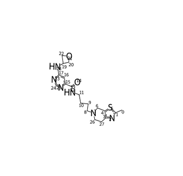 Cc1nc2c(s1)CN(CCCCNC(=O)c1cc(NC3COC3)ncn1)CC2